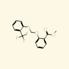 COC(=O)c1ccccc1OCSc1ccccc1C(F)(F)F